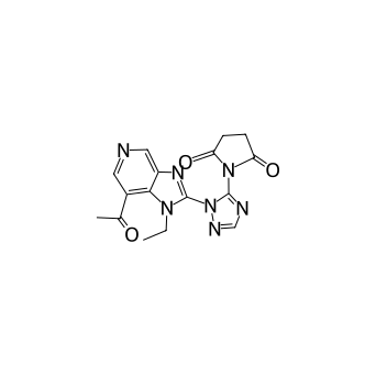 CCn1c(-n2ncnc2N2C(=O)CCC2=O)nc2cncc(C(C)=O)c21